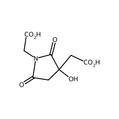 O=C(O)CN1C(=O)CC(O)(CC(=O)O)C1=O